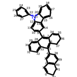 C1=Cc2cc(-c3c4c(c(-c5ccc6c(c5)c5ccccc5n6-c5ccccc5)c5ccccc35)C=CCC4)ccc2CC1